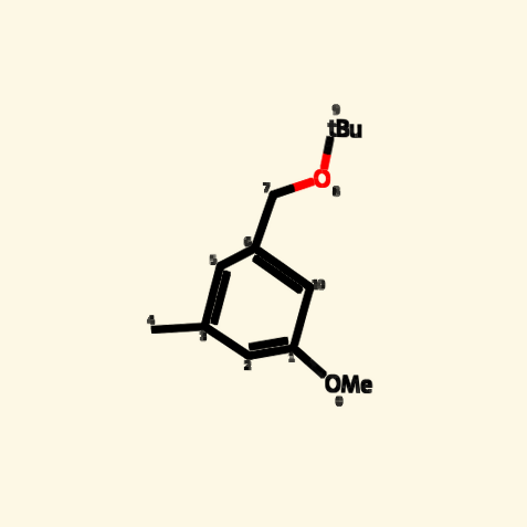 COc1cc(C)cc(COC(C)(C)C)c1